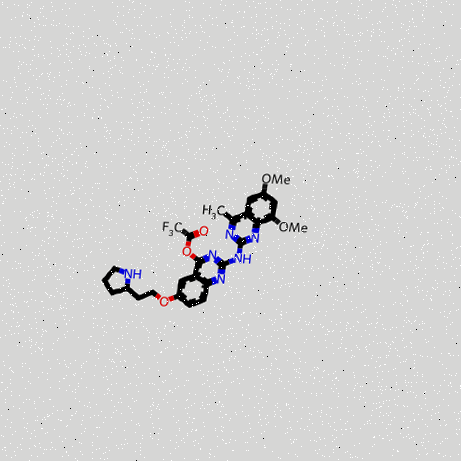 COc1cc(OC)c2nc(Nc3nc(OC(=O)C(F)(F)F)c4cc(OCCC5CCCN5)ccc4n3)nc(C)c2c1